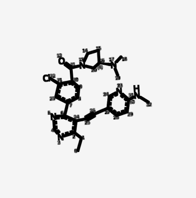 CCc1ncnc(-c2ccc(C(=O)N3CC[C@@H](N(C)C)C3)c(Cl)c2)c1C#Cc1ccc(NC)nc1